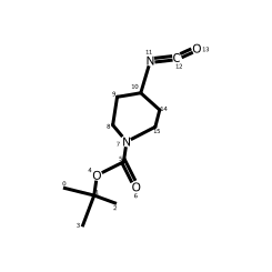 CC(C)(C)OC(=O)N1CCC(N=C=O)CC1